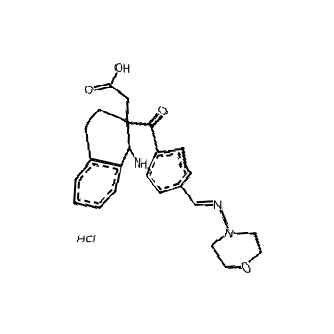 Cl.NC1c2ccccc2CCC1(CC(=O)O)C(=O)c1ccc(C=NN2CCOCC2)cc1